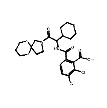 O=C(NC(C(=O)N1CCC2(C1)SCCCS2)C1CCCCC1)c1ccc(Cl)c(Cl)c1C(=O)O